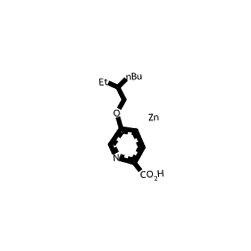 CCCCC(CC)COc1ccc(C(=O)O)nc1.[Zn]